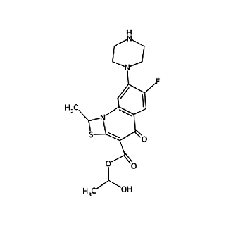 CC(O)OC(=O)c1c2n(c3cc(N4CCNCC4)c(F)cc3c1=O)C(C)S2